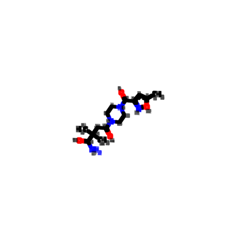 Cc1cc(C(=O)N2CCN(C(=O)[CH]C(C)(C)C(N)=O)CC2)no1